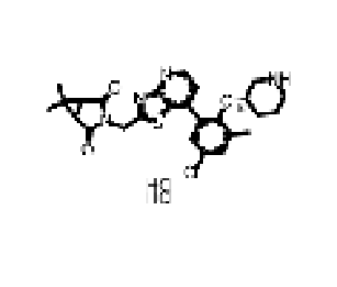 Cc1cc(Cl)cc(-c2ccnc3nc(CN4C(=O)C5C(C4=O)C5(C)C)sc23)c1O[C@H]1CCCNC1.Cl.Cl